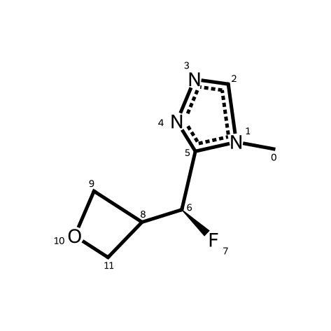 Cn1cnnc1[C@@H](F)C1COC1